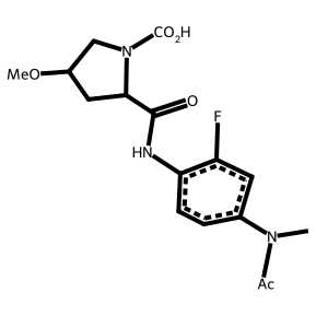 COC1CC(C(=O)Nc2ccc(N(C)C(C)=O)cc2F)N(C(=O)O)C1